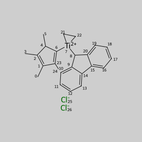 CC1=C(C)C(C)[C]([Ti+2]2([CH]3c4ccccc4-c4ccccc43)[CH2][CH2]2)=C1C.[Cl-].[Cl-]